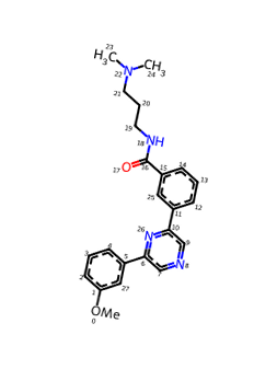 COc1cccc(-c2cncc(-c3cccc(C(=O)NCCCN(C)C)c3)n2)c1